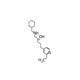 CCc1cc(CCC[C@@H](O)CNCC2CCCCC2)ccn1